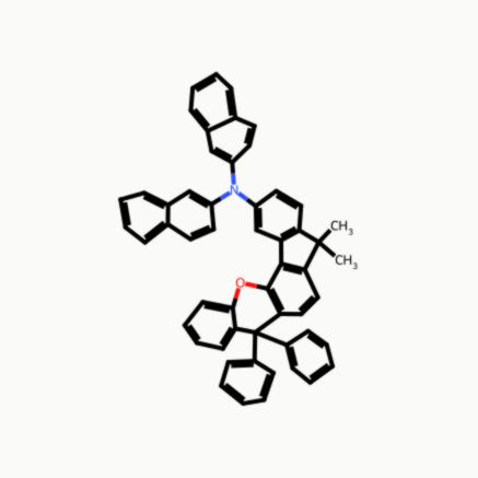 CC1(C)c2ccc(N(c3ccc4ccccc4c3)c3ccc4ccccc4c3)cc2-c2c1ccc1c2Oc2ccccc2C1(c1ccccc1)c1ccccc1